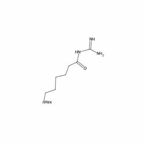 CCCCCCCCCCCC(=O)NC(=N)N